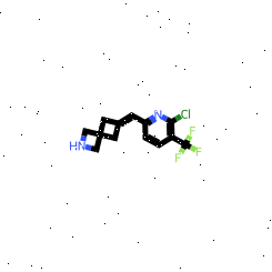 FC(F)(F)c1ccc(C=C2CC3(CNC3)C2)nc1Cl